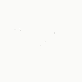 Nc1ccc(S(=O)(=O)c2ccc(F)cc2F)cc1